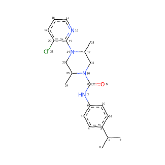 CC(C)c1ccc(NC(=O)N2CC(C)N(c3ncccc3Cl)CC2C)cc1